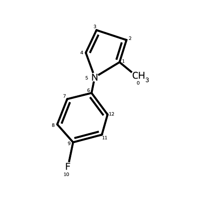 Cc1cccn1-c1ccc(F)cc1